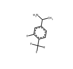 CC(N)c1ccc(C(F)(F)F)c(F)c1